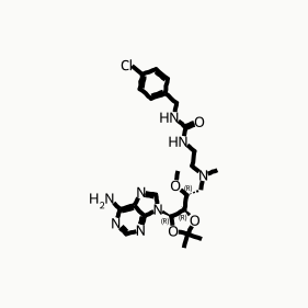 CO[C@H](CN(C)CCNC(=O)NCc1ccc(Cl)cc1)[C@H]1OC(C)(C)O[C@H]1n1cnc2c(N)ncnc21